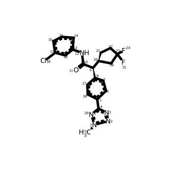 Cn1nnc(-c2ccc([C@@H](C(=O)Nc3cccc(Cl)c3)[C@H]3CCC(F)(F)C3)cc2)n1